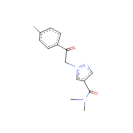 CN(C)C(=O)c1cnn(CC(=O)c2ccc(Cl)cc2)c1